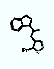 CC(C)C1OCCC1CC(C)C1CCc2ccccc21